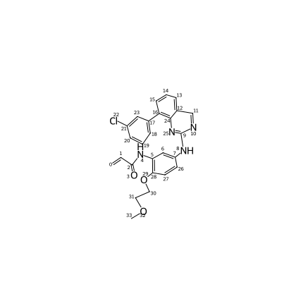 C=CC(=O)Nc1cc(Nc2ncc3cccc(-c4cccc(Cl)c4)c3n2)ccc1OCCOC